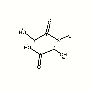 CSC(=O)CO.O=C(O)CO